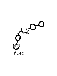 CCCCCCCCCCc1cnc(-c2ccc(O[C@@H](C)C[C@H](C)Oc3ccc(-c4ccccc4)cc3)cc2)nc1